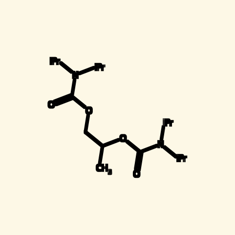 CC(COC(=O)N(C(C)C)C(C)C)OC(=O)N(C(C)C)C(C)C